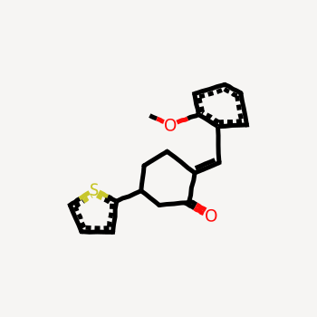 COc1ccccc1C=C1CCC(c2cccs2)CC1=O